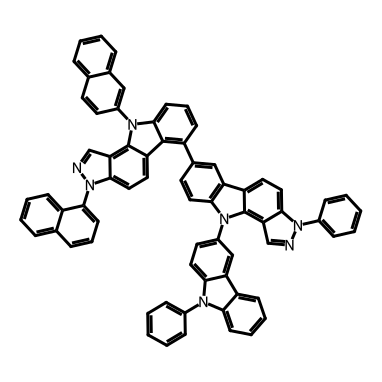 c1ccc(-n2ncc3c2ccc2c4cc(-c5cccc6c5c5ccc7c(cnn7-c7cccc8ccccc78)c5n6-c5ccc6ccccc6c5)ccc4n(-c4ccc5c(c4)c4ccccc4n5-c4ccccc4)c23)cc1